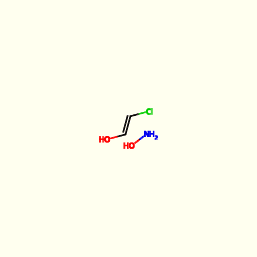 NO.OC=CCl